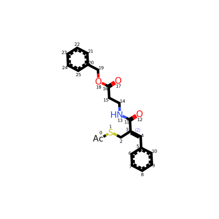 CC(=O)SC/C(=C\c1ccccc1)C(=O)NCCC(=O)OCc1ccccc1